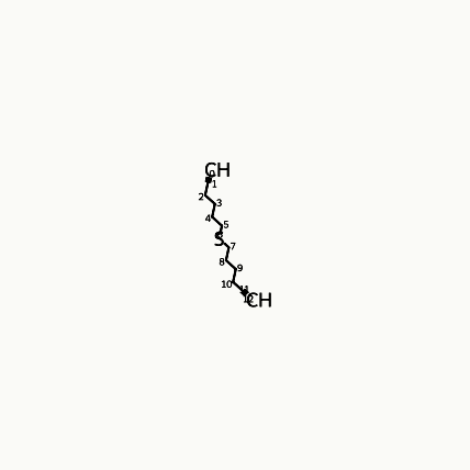 C#CCCCCSCCCCC#C